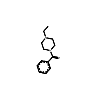 CCN1CCN(C(=O)c2ccccc2)CC1